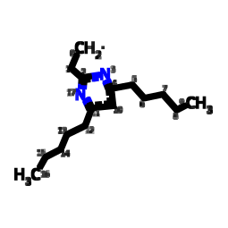 [CH2]Cc1nc(CCCCC)cc(CCCCC)n1